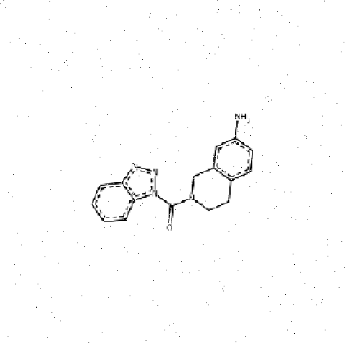 Nc1ccc2c(c1)CN(C(=O)n1nnc3ccccc31)CC2